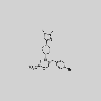 Cc1cc(C2CCC(N3C[C@H](C(=O)O)OC[C@@H]3Cc3ccc(Br)cc3)CC2)nn1C